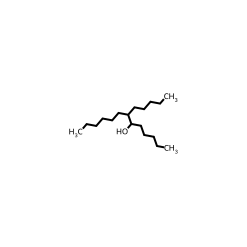 CCCCCCC(CCCCC)C(O)CCCCC